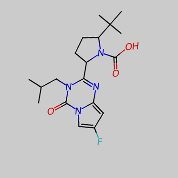 CC(C)Cn1c(C2CCC(C(C)(C)C)N2C(=O)O)nc2cc(F)cn2c1=O